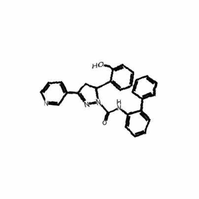 O=C(Nc1ccccc1-c1ccccc1)N1N=C(c2cccnc2)CC1c1ccccc1O